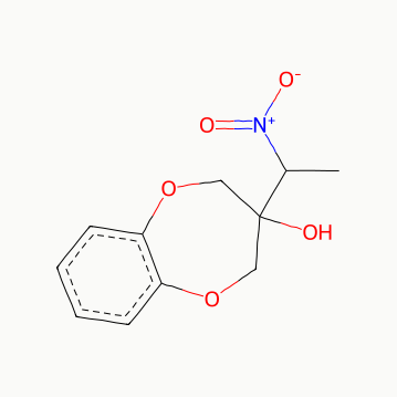 CC([N+](=O)[O-])C1(O)COc2ccccc2OC1